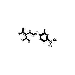 Cc1cc([N+](=O)[O-])ccc1OCCN(C(C)C)C(C)C